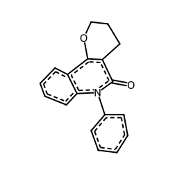 O=c1c2c(c3ccccc3n1-c1ccccc1)OCCC2